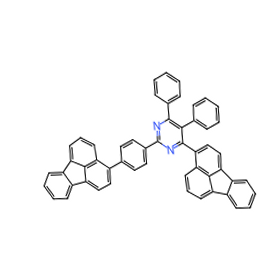 c1ccc(-c2nc(-c3ccc(-c4ccc5c6c(cccc46)-c4ccccc4-5)cc3)nc(-c3ccc4c5c(cccc35)-c3ccccc3-4)c2-c2ccccc2)cc1